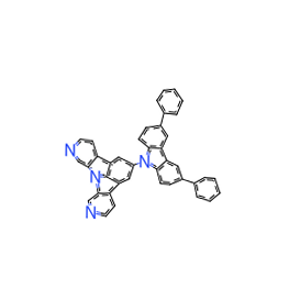 c1ccc(-c2ccc3c(c2)c2cc(-c4ccccc4)ccc2n3-c2cc3c4ccncc4n4c5cnccc5c(c2)c34)cc1